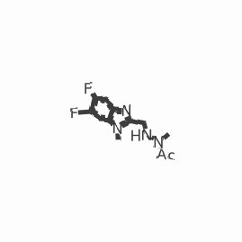 CC(=O)N(C)NCc1nc2cc(F)c(F)cc2n1C